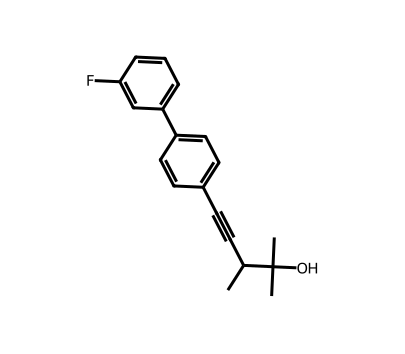 CC(C#Cc1ccc(-c2cccc(F)c2)cc1)C(C)(C)O